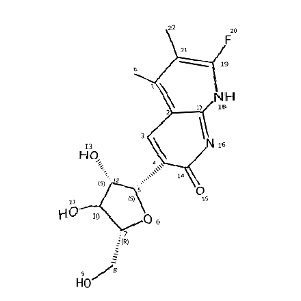 Cc1c2cc([C@@H]3O[C@H](CO)C(O)[C@@H]3O)c(=O)nc-2[nH]c(F)c1C